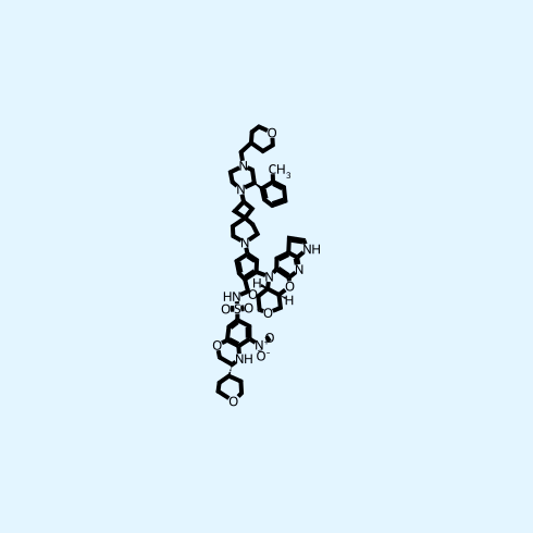 Cc1ccccc1[C@@H]1CN(CC2CCOCC2)CCN1C1CC2(CCN(c3ccc(C(=O)NS(=O)(=O)c4cc5c(c([N+](=O)[O-])c4)N[C@H](C4CCOCC4)CO5)c(N4c5cc6cc[nH]c6nc5O[C@H]5COCC[C@@H]54)c3)CC2)C1